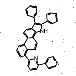 c1ccc(-c2[nH]c3c(ccc4c5cccc(-c6cccc(-c7ccncc7)n6)c5ccc43)c2-c2ccccc2)cc1